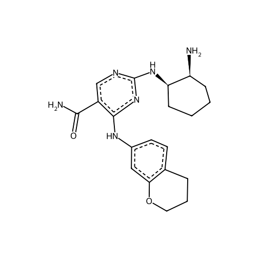 NC(=O)c1cnc(N[C@@H]2CCCC[C@@H]2N)nc1Nc1ccc2c(c1)OCCC2